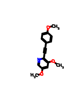 COc1ccc(C#Cc2ncc(OC)cc2OC)cc1